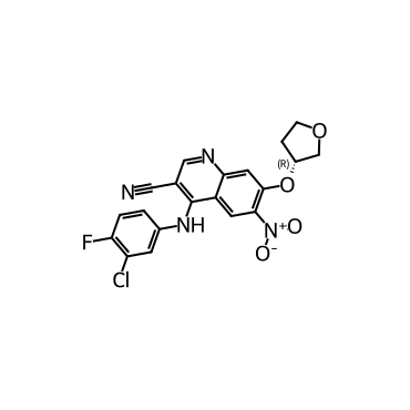 N#Cc1cnc2cc(O[C@@H]3CCOC3)c([N+](=O)[O-])cc2c1Nc1ccc(F)c(Cl)c1